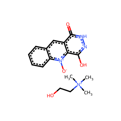 C[N+](C)(C)CCO.O=c1[nH]nc(O)c2c1cc1ccccc1[n+]2[O-]